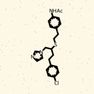 CC(=O)Nc1ccc(CCSC(CCc2ccc(Cl)cc2)Cn2ccnc2)cc1